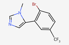 Cn1cncc1-c1cc(C(F)(F)F)ccc1Br